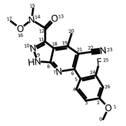 COc1ccc(-c2nc3[nH]nc(C(=O)N(C)OC)c3c(C)c2C#N)c(F)c1